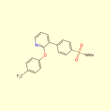 CNS(=O)(=O)c1ccc(-c2cccnc2Oc2ccc(C(F)(F)F)cc2)cc1